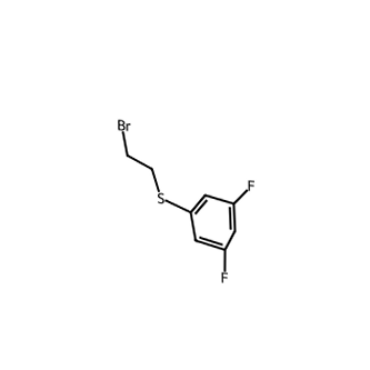 Fc1cc(F)cc(SCCBr)c1